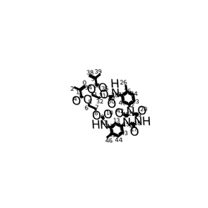 C=C(C)C(=O)OCCOC(=O)Nc1cc(-n2c(=O)[nH]c(=O)n(-c3ccc(C)c(NC(=O)OCCOC(=O)C(=C)C)c3)c2=O)ccc1C